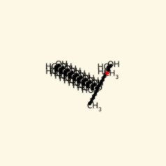 CCCCCCCCCC(=O)OCCCCCCCC.OCC(O)CO.OCC(O)CO.OCC(O)CO.OCC(O)CO.OCC(O)CO.OCC(O)CO.OCC(O)CO.OCC(O)CO.OCC(O)CO.OCC(O)CO